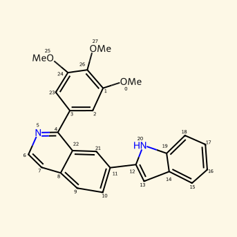 COc1cc(-c2nccc3ccc(-c4cc5ccccc5[nH]4)cc23)cc(OC)c1OC